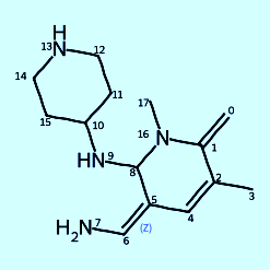 C=C1C(C)=C/C(=C/N)C(NC2CCNCC2)N1C